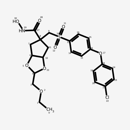 CCOCC1OC2CC(CS(=O)(=O)c3ccc(Oc4ccc(Cl)cc4)cc3)(C(=O)NO)CC2O1